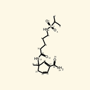 CC(C)S(=O)(=O)NCCCCC(=O)NC1(C)C=C(C(N)=O)C=CC1